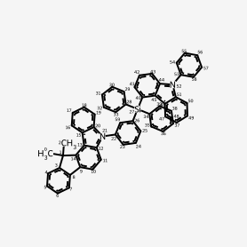 CC1(C)c2ccccc2-c2ccc3c(c21)c1ccccc1n3-c1cccc([Si](c2ccccc2)(c2ccccc2)c2cccc3c2c2ccccc2n3-c2ccccc2)c1